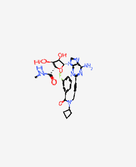 CNC(=O)[C@H]1O[C@@H](n2cnc3c(N)nc(C#CCN(C(=O)c4cccc(F)c4)C4CCC4)nc32)[C@H](O)[C@@H]1O